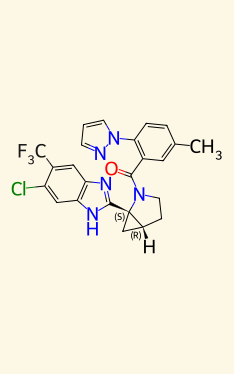 Cc1ccc(-n2cccn2)c(C(=O)N2CC[C@@H]3C[C@@]32c2nc3cc(C(F)(F)F)c(Cl)cc3[nH]2)c1